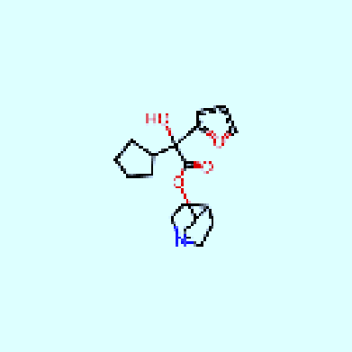 O=C(OC1CN2CCC1CC2)C(O)(c1ccco1)C1CCCC1